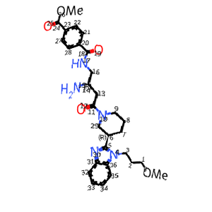 COCCCn1c([C@@H]2CCCN(C(=O)C[C@@H](N)CNC(=O)c3ccc(C(=O)OC)cc3)C2)nc2ccccc21